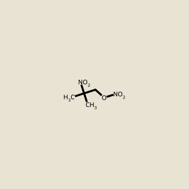 CC(C)(CO[N+](=O)[O-])[N+](=O)[O-]